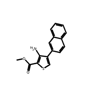 COC(=O)c1scc(-c2ccc3ccccc3c2)c1N